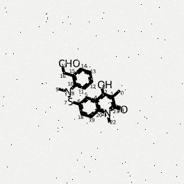 Cc1c(O)c2cc(SN(C)c3ccccc3CC=O)ccc2n(C)c1=O